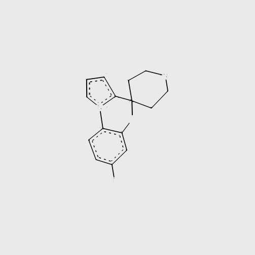 Fc1ccc2c(c1)OC1(CCNCC1)c1cccn1-2